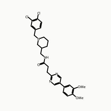 COc1ccc(-c2cnc(CCC(=O)NCC3CCCN(Cc4ccc(Cl)c(Cl)c4)C3)nc2)cc1OC